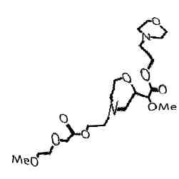 COCCOCC(=O)OCCN1CCOC(C(OC)C(=O)OCCN2CCOCC2)C1